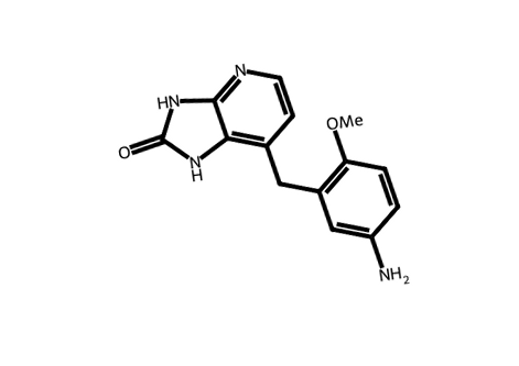 COc1ccc(N)cc1Cc1ccnc2[nH]c(=O)[nH]c12